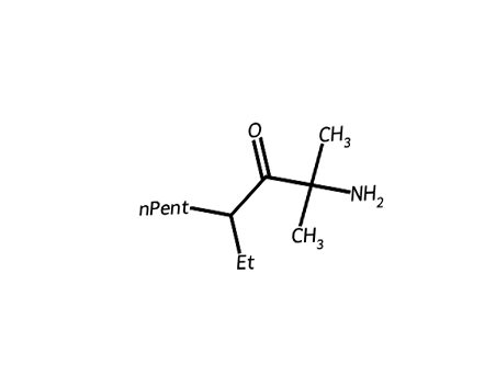 CCCCCC(CC)C(=O)C(C)(C)N